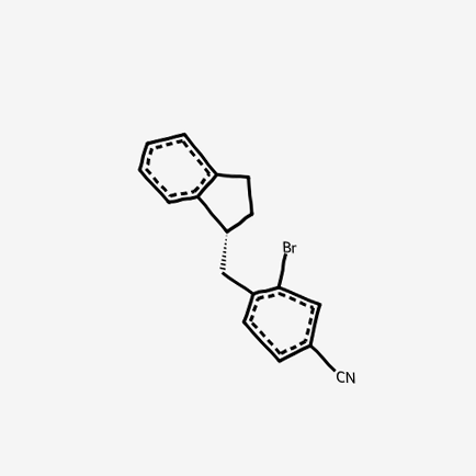 N#Cc1ccc(C[C@H]2CCc3ccccc32)c(Br)c1